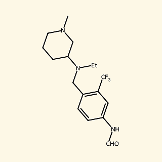 CCN(Cc1ccc(NC=O)cc1C(F)(F)F)C1CCCN(C)C1